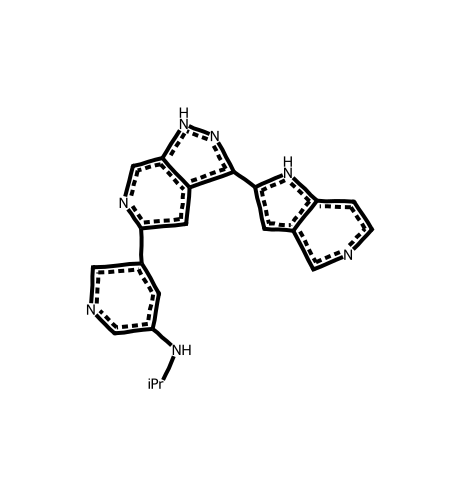 CC(C)Nc1cncc(-c2cc3c(-c4cc5cnccc5[nH]4)n[nH]c3cn2)c1